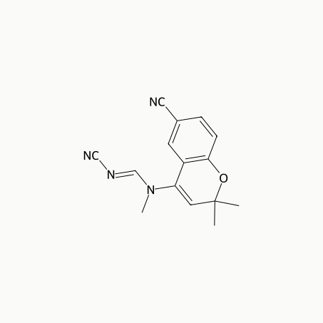 CN(C=NC#N)C1=CC(C)(C)Oc2ccc(C#N)cc21